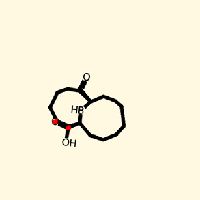 O=CC12BC(C(=O)O)(CCCCCCC1)CCCCCC2